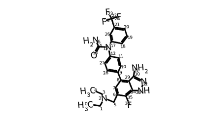 CCN(CC)Cc1cc(-c2ccc(N(C(N)=O)c3cccc(C(F)(F)F)c3)cc2)c2c(N)n[nH]c2c1F